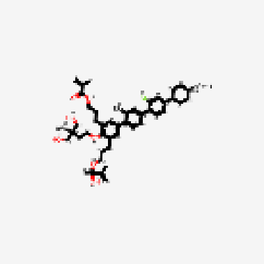 C=C(C)C(=O)OCCCc1cc(-c2ccc(-c3ccc(C4CCC(CCCCC)CC4)cc3F)cc2CC)cc(CCCOC(C)(O)C(=C)C)c1OCCC(CO)(CO)CCC